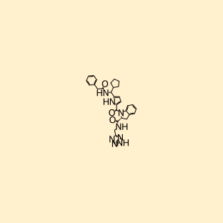 O=C(Cc1ccccc1)NC(c1ccc(C(=O)N2c3ccccc3C[C@H]2C(=O)NCc2nn[nH]n2)[nH]1)C1CCCC1